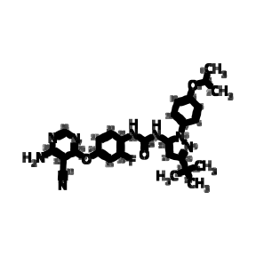 CC(C)Oc1ccc(-n2nc(C(C)(C)C)cc2NC(=O)Nc2ccc(Oc3ncnc(N)c3C#N)cc2F)cc1